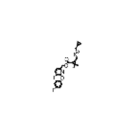 CC1(C)C(C=NOCC2CC2)C1C(=O)OCc1ccc(F)c(Oc2ccc(F)cc2)n1